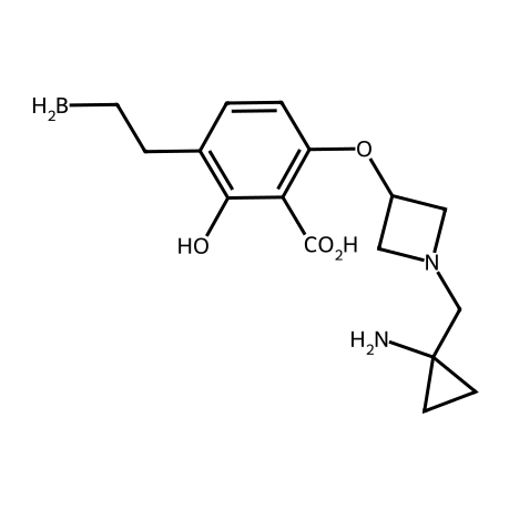 BCCc1ccc(OC2CN(CC3(N)CC3)C2)c(C(=O)O)c1O